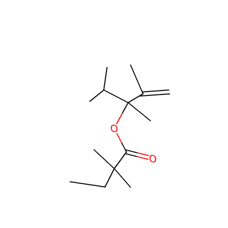 C=C(C)C(C)(OC(=O)C(C)(C)CC)C(C)C